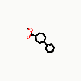 COC(=O)C1CC=C(c2ccccc2)CCC1